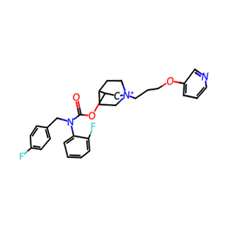 O=C(OC1C[N+]2(CCCOc3cccnc3)CCC1CC2)N(Cc1ccc(F)cc1)c1ccccc1F